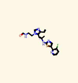 C=Cc1ncn(CCNC=O)c1/C=C(\C)Nc1ncc(-c2ncccc2F)s1